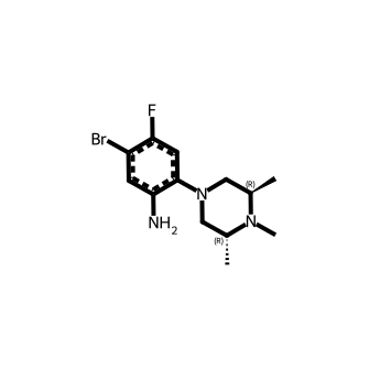 C[C@@H]1CN(c2cc(F)c(Br)cc2N)C[C@@H](C)N1C